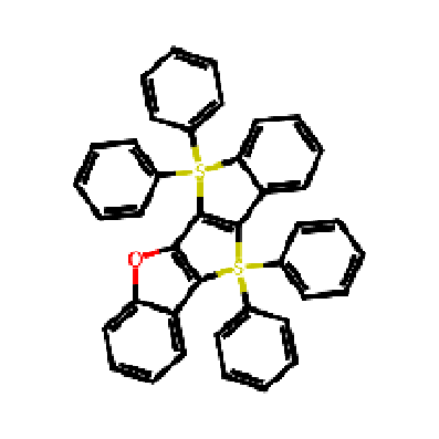 c1ccc(S2(c3ccccc3)C3=C(c4ccccc42)S(c2ccccc2)(c2ccccc2)c2c3oc3ccccc23)cc1